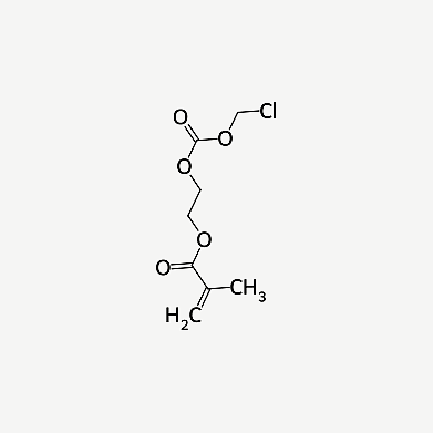 C=C(C)C(=O)OCCOC(=O)OCCl